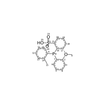 COc1ccccc1P(c1ccccc1C)c1ccccc1S(=O)(=O)O